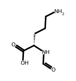 NCCC[C@H](NC=O)C(=O)O